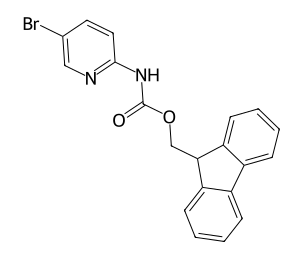 O=C(Nc1ccc(Br)cn1)OCC1c2ccccc2-c2ccccc21